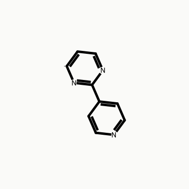 [c]1ccnc(-c2ccncc2)n1